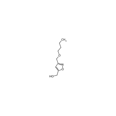 CCCCOCc1cc(CO)on1